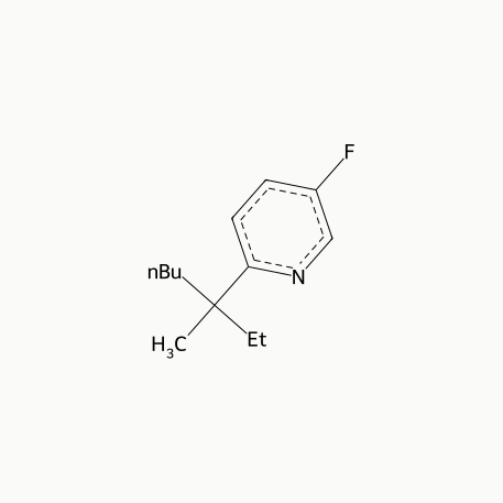 CCCCC(C)(CC)c1ccc(F)cn1